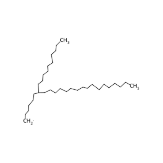 [CH2]CCCCCC(CCCCCCCCCC)CCCCCCCCCCCCCCCCC